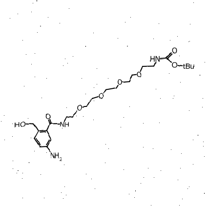 CC(C)(C)OC(=O)NCCOCCOCCOCCOCCNC(=O)c1cc(N)ccc1CO